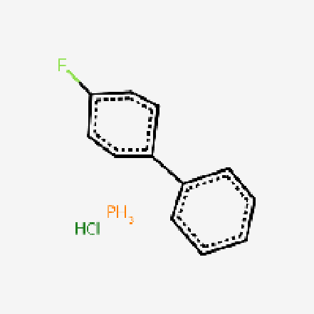 Cl.Fc1ccc(-c2ccccc2)cc1.P